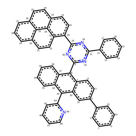 c1ccc(-c2ccc3c(-c4nc(-c5ccccc5)nc(-c5ccc6ccc7cccc8ccc5c6c78)n4)c4ccccc4c(-c4ccccn4)c3c2)cc1